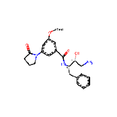 CCCCCOc1cc(C(=O)N[C@@H](Cc2ccccc2)[C@H](O)CN)cc(N2CCCC2=O)c1